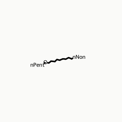 CC[CH]CCOCCCCCCCCCCCCCCCCCC